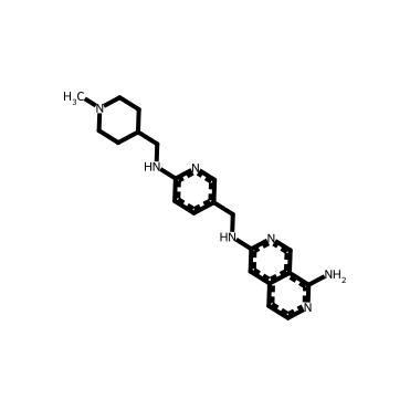 CN1CCC(CNc2ccc(CNc3cc4ccnc(N)c4cn3)cn2)CC1